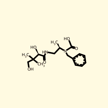 C[C@H](CNC(=O)[C@H](O)C(C)(C)CO)N(Cc1ccccc1)C(=O)O